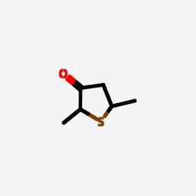 CC1CC(=O)C(C)S1